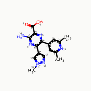 Cc1cc(-c2nc(C(=O)O)c(N)nc2-c2cnn(C)c2)cc(C)n1